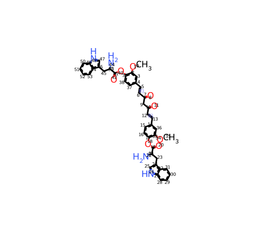 COc1cc(/C=C/C(=O)CC(=O)/C=C/c2ccc(OC(=O)[C@H](N)Cc3c[nH]c4ccccc34)c(OC)c2)ccc1OC(=O)[C@H](N)Cc1c[nH]c2ccccc12